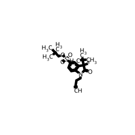 C#CCCN1C(=O)C(F)(C(C)(C)C)c2cc(S(=O)(=O)OCC(C)(C)C)ccc21